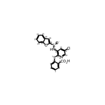 O=C(O)c1ccccc1Sc1ncc(Cl)cc1N[S+]([O-])c1cc2ccccc2o1